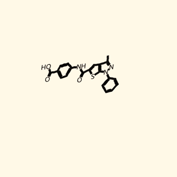 Cc1nn(-c2ccccc2)c2sc(C(=O)Nc3ccc(C(=O)O)cc3)cc12